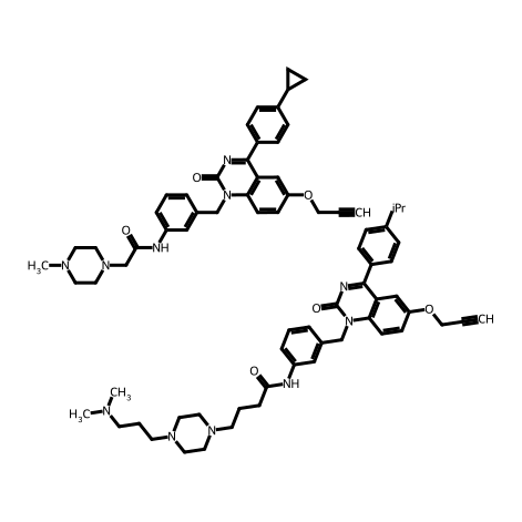 C#CCOc1ccc2c(c1)c(-c1ccc(C(C)C)cc1)nc(=O)n2Cc1cccc(NC(=O)CCCN2CCN(CCCN(C)C)CC2)c1.C#CCOc1ccc2c(c1)c(-c1ccc(C3CC3)cc1)nc(=O)n2Cc1cccc(NC(=O)CN2CCN(C)CC2)c1